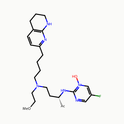 COCCN(CCCCc1ccc2c(n1)NCCC2)CC[C@H](Nc1ncc(F)c[n+]1O)C(C)=O